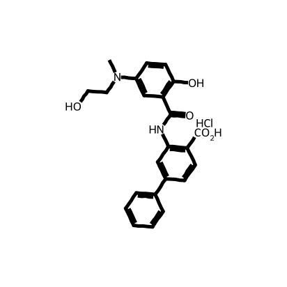 CN(CCO)c1ccc(O)c(C(=O)Nc2cc(-c3ccccc3)ccc2C(=O)O)c1.Cl